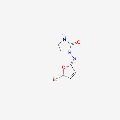 O=C1NCCN1N=C1C=CC(Br)O1